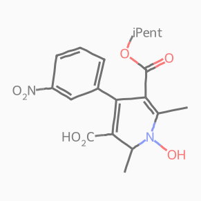 CCCC(C)OC(=O)C1=C(C)N(O)C(C)C(C(=O)O)=C1c1cccc([N+](=O)[O-])c1